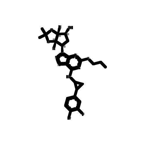 CCCSc1nc(NC2CC2c2ccc(Br)c(F)c2)c2nnn([C@@H]3C[C@H](O)[C@H]4OC(C)(C)O[C@H]43)c2n1